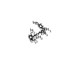 CC1=C(/C=C/C(C)=C/C=C/C(C)=C/C(=O)N(C)c2ccc(O)cc2)C(C)(C)CCC1